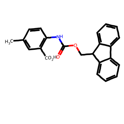 Cc1ccc(NC(=O)OCC2c3ccccc3-c3ccccc32)c(C(=O)O)c1